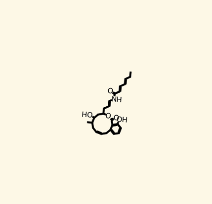 CCC=CC=CC(=O)NC=CCC1CC(O)C(C)CC=CCc2cccc(O)c2C(=O)O1